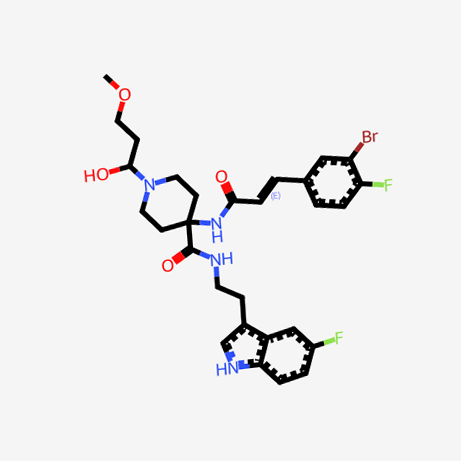 COCCC(O)N1CCC(NC(=O)/C=C/c2ccc(F)c(Br)c2)(C(=O)NCCc2c[nH]c3ccc(F)cc23)CC1